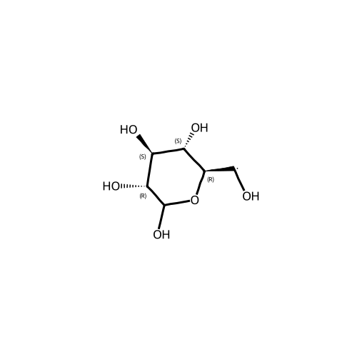 O[CH][C@H]1OC(O)[C@H](O)[C@@H](O)[C@@H]1O